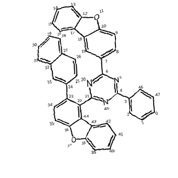 c1ccc(-c2nc(-c3ccc4oc5ccccc5c4c3)nc(-c3c(-c4ccc5ccccc5c4)ccc4oc5ccccc5c34)n2)cc1